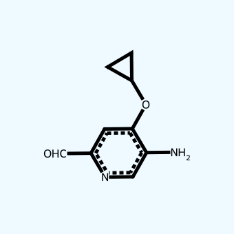 Nc1cnc(C=O)cc1OC1CC1